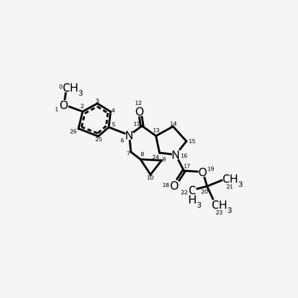 COc1ccc(N(CC2CC2)C(=O)C2CCN(C(=O)OC(C)(C)C)C2)cc1